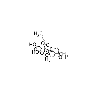 C=C1CCC2[C@](C)(CO)CCC[C@]2(C)[C@H]1CO[C@@H](C(=O)OCCCC)[C@H](CC(=O)O)C(=O)O